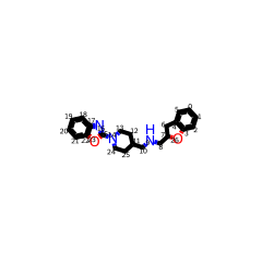 c1ccc2c(c1)CC(CNCC1CCN(c3nc4ccccc4o3)CC1)O2